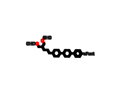 CCCCCc1ccc(C2CCC(C3CCC(CCCC(COC=O)COC=O)CC3)CC2)cc1